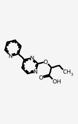 CCC(Oc1nccc(-c2ccccn2)n1)C(=O)O